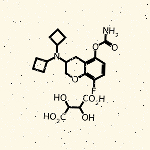 NC(=O)Oc1ccc(F)c2c1CC(N(C1CCC1)C1CCC1)CO2.O=C(O)C(O)C(O)C(=O)O